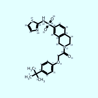 CC(C)(C)c1ccc(OCC(=O)N2CCc3ccc(S(=O)(=O)Nc4nccs4)cc3C2)cc1